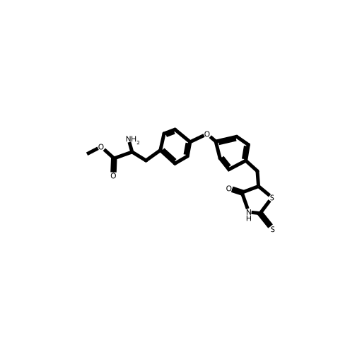 COC(=O)C(N)Cc1ccc(Oc2ccc(CC3SC(=S)NC3=O)cc2)cc1